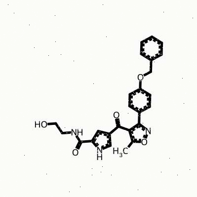 Cc1onc(-c2ccc(OCc3ccccc3)cc2)c1C(=O)c1c[nH]c(C(=O)NCCO)c1